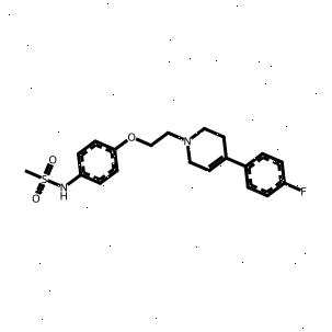 CS(=O)(=O)Nc1ccc(OCCN2CC=C(c3ccc(F)cc3)CC2)cc1